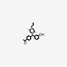 C=CCN1C[C@H](C)N(C(c2ccc(C(C)=O)cc2)c2cccc(O)c2)C[C@@H]1C